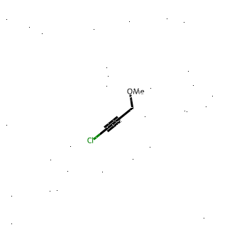 COCC#CCl